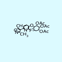 CC(=O)O[C@@H]1[C@@H](OC(C)=O)[C@H](OC(C)=O)CS[C@H]1Oc1ccc(-c2c(C)noc2C)nc1F